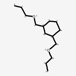 CCCOCC1CCCC(COCCC)C1